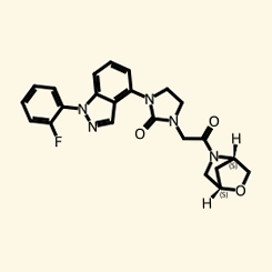 O=C1N(CC(=O)N2C[C@@H]3C[C@H]2CO3)CCN1c1cccc2c1cnn2-c1ccccc1F